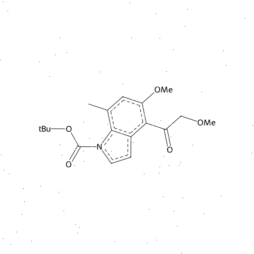 COCC(=O)c1c(OC)cc(C)c2c1ccn2C(=O)OC(C)(C)C